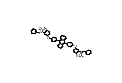 O=[N+]([O-])c1ccc(Oc2ccc(-c3c4ccccc4c(-c4ccc(Oc5ccc([N+](=O)[O-])c(OCc6ccccc6)c5)cc4)c4ccccc34)cc2)cc1OCc1ccccc1